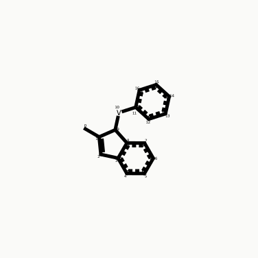 CC1=Cc2ccccc2[CH]1[V][c]1ccccc1